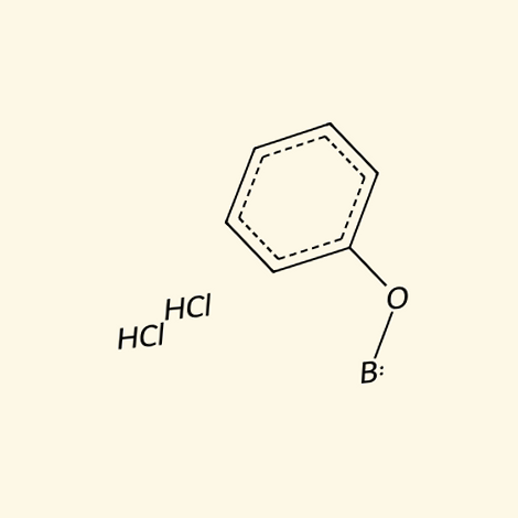 Cl.Cl.[B]Oc1ccccc1